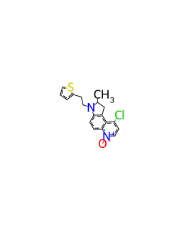 CC1Cc2c(ccc3c2c(Cl)cc[n+]3[O-])N1CCc1cccs1